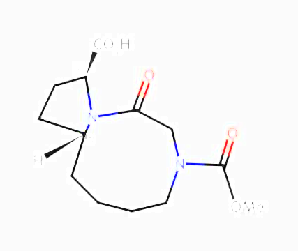 COC(=O)N1CCCC[C@@H]2CC[C@@H](C(=O)O)N2C(=O)C1